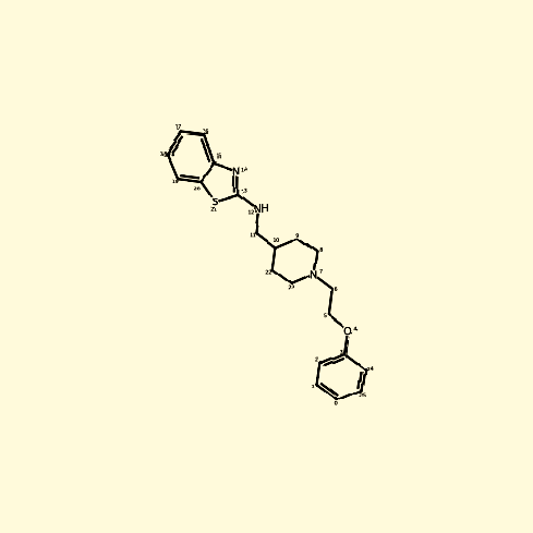 c1ccc(OCCN2CCC(CNc3nc4ccccc4s3)CC2)cc1